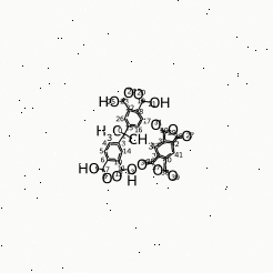 CC(C)(c1ccc(C(=O)O)c(C(=O)O)c1)c1ccc(C(=O)O)c(C(=O)O)c1.O=c1oc(=O)c2cc3c(=O)oc(=O)c3cc12